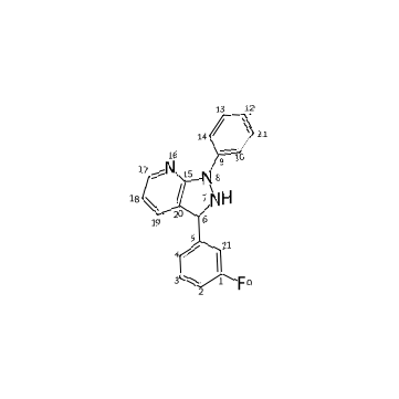 Fc1cccc(C2NN(c3cc[c]cc3)c3ncc[c]c32)c1